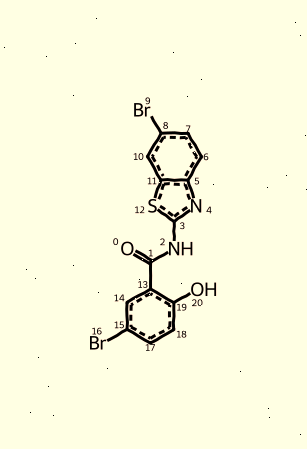 O=C(Nc1nc2ccc(Br)cc2s1)c1cc(Br)ccc1O